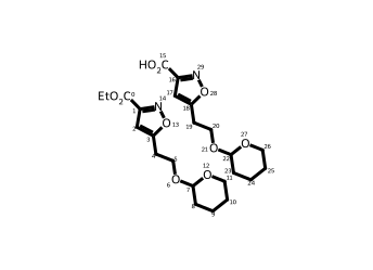 CCOC(=O)c1cc(CCOC2CCCCO2)on1.O=C(O)c1cc(CCOC2CCCCO2)on1